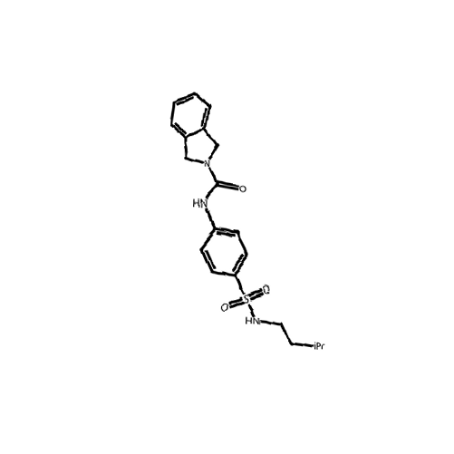 CC(C)CCNS(=O)(=O)c1ccc(NC(=O)N2Cc3ccccc3C2)cc1